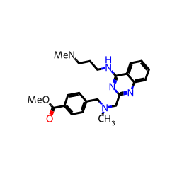 CNCCCNc1nc(CN(C)Cc2ccc(C(=O)OC)cc2)nc2ccccc12